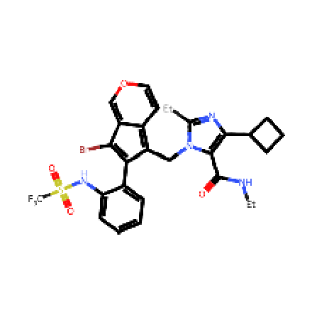 CCNC(=O)c1c(C2CCC2)nc(CC)n1Cc1c2ccocc-2c(Br)c1-c1ccccc1NS(=O)(=O)C(F)(F)F